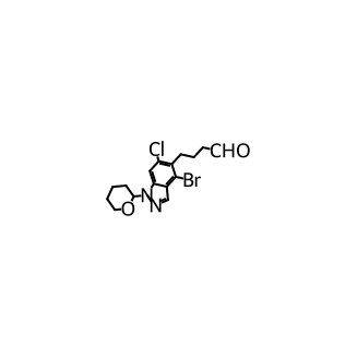 O=CCCCc1c(Cl)cc2c(cnn2C2CCCCO2)c1Br